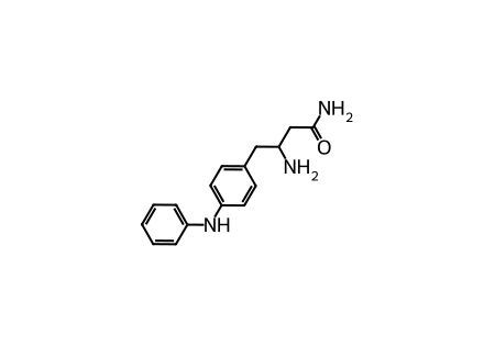 NC(=O)CC(N)Cc1ccc(Nc2ccccc2)cc1